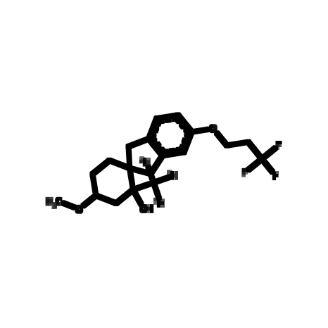 [2H]C([2H])([2H])C1(O)CC(OC)CCC12Cc1ccc(OCCC(F)(F)F)cc1C2